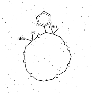 CCCCC1(CC)CCCCCCCCCCCCCCCC(C)(CCCC)C(c2ncccn2)C1